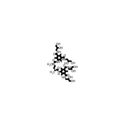 CN(CCN(C)C(=O)Nc1c(I)c(C(=O)NCC(O)CO)c(I)c(C(=O)NCC(O)CO)c1I)C(=O)Nc1c(I)c(C(=O)NCC(O)CO)c(I)c(C(=O)NCC(O)CO)c1I